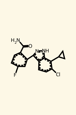 NC(=O)c1ccc(F)cc1-c1n[nH]c2c(C3CC3)c(Cl)ccc12